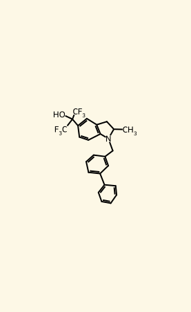 CC1Cc2cc(C(O)(C(F)(F)F)C(F)(F)F)ccc2N1Cc1cccc(-c2ccccc2)c1